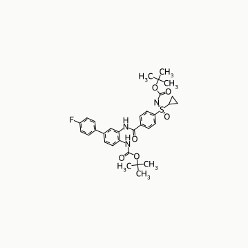 CC(C)(C)OC(=O)N=S(=O)(c1ccc(C(=O)Nc2cc(-c3ccc(F)cc3)ccc2NC(=O)OC(C)(C)C)cc1)C1CC1